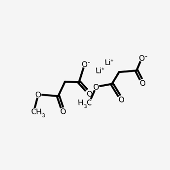 COC(=O)CC(=O)[O-].COC(=O)CC(=O)[O-].[Li+].[Li+]